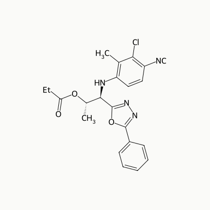 [C-]#[N+]c1ccc(N[C@@H](c2nnc(-c3ccccc3)o2)[C@H](C)OC(=O)CC)c(C)c1Cl